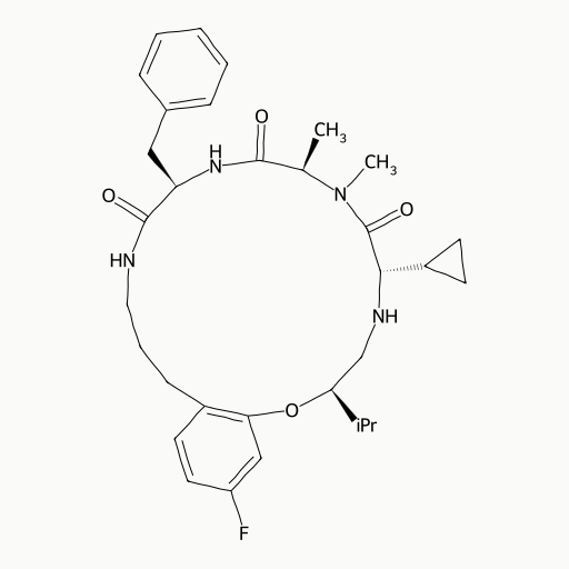 CC(C)[C@@H]1CN[C@@H](C2CC2)C(=O)N(C)[C@H](C)C(=O)N[C@H](Cc2ccccc2)C(=O)NCCCc2ccc(F)cc2O1